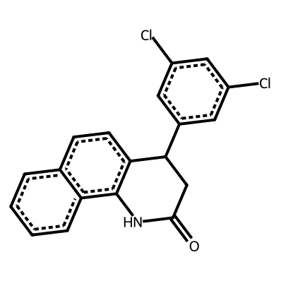 O=C1CC(c2cc(Cl)cc(Cl)c2)c2ccc3ccccc3c2N1